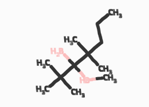 BC(BC)(C(C)(C)C)C(C)(C)CCC